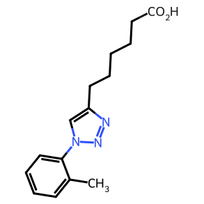 Cc1ccccc1-n1cc(CCCCCC(=O)O)nn1